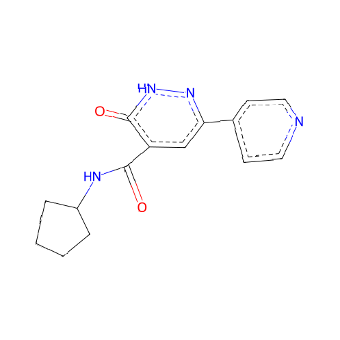 O=C(NC1CCCC1)c1cc(-c2ccncc2)n[nH]c1=O